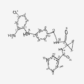 Nc1cc(Cl)ccc1Nc1ccc(CNC(=O)C2(NC(=O)c3cncnc3)CC2)cc1